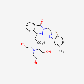 O=C(O)Cc1nn(Cc2nc3cc(C(F)(F)F)ccc3s2)c(=O)c2ccccc12.OCCN(CCO)CCO